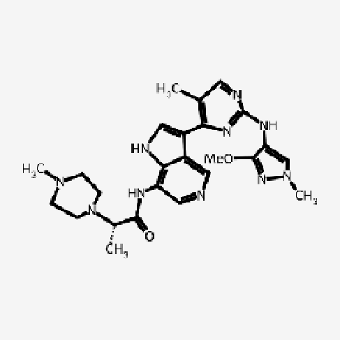 COc1nn(C)cc1Nc1ncc(C)c(-c2c[nH]c3c(NC(=O)[C@H](C)N4CCN(C)CC4)cncc23)n1